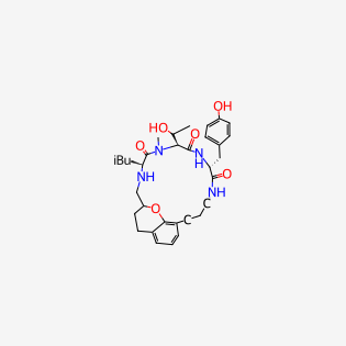 CCC(C)[C@@H]1NCC2CCc3cccc(c3O2)CCCNC(=O)[C@@H](Cc2ccc(O)cc2)NC(=O)[C@H](C(C)O)N(C)C1=O